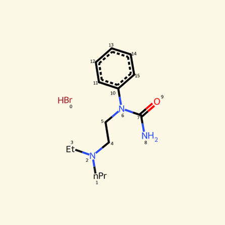 Br.CCCN(CC)CCN(C(N)=O)c1ccccc1